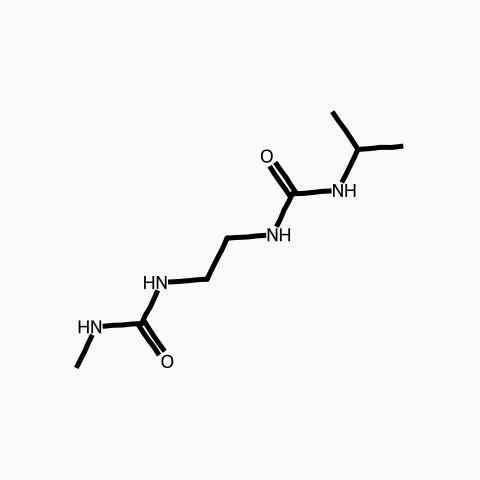 CNC(=O)NCCNC(=O)NC(C)C